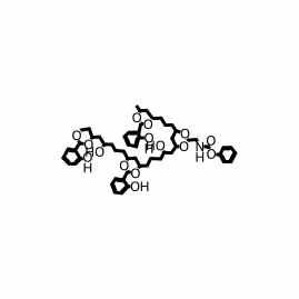 CC1CC(CCCC2CC(CC(O)CCCC3CC(CCCC(O)CC4CCOC(c5ccccc5O)O4)OC(c4ccccc4O)O3)OC(CNC(=O)Oc3ccccc3)O2)OC(c2ccccc2O)O1